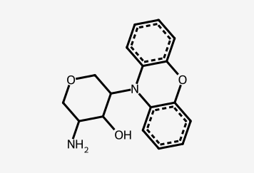 NC1COCC(N2c3ccccc3Oc3ccccc32)C1O